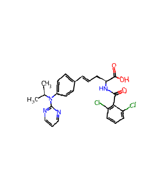 CC(C)N(c1ccc(C=CC[C@H](NC(=O)c2c(Cl)cccc2Cl)C(=O)O)cc1)c1ncccn1